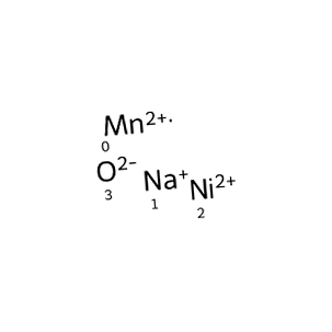 [Mn+2].[Na+].[Ni+2].[O-2]